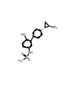 CS(=O)(=O)Nc1ccc(O)c(-c2ccc([C@@H]3C[C@H]3N)cc2)c1